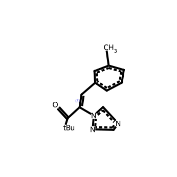 Cc1cccc(/C=C(/C(=O)C(C)(C)C)n2cncn2)c1